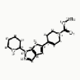 CC(C)(C)OC(=O)N1CC=C(c2cc3cnn(C4CCCCO4)c3s2)CC1